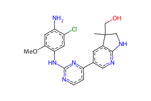 COc1cc(N)c(Cl)cc1Nc1nccc(-c2cnc3c(c2)C(C)(CO)CN3)n1